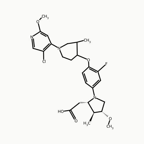 COc1cc(N2CCC(Oc3ccc(N4C[C@H](OC)[C@@H](C)[C@@H]4CC(=O)O)cc3F)C(C)C2)c(Cl)cn1